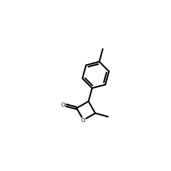 Cc1ccc(C2C(=O)OC2C)cc1